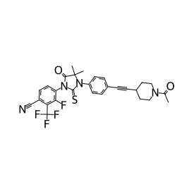 CC(=O)N1CCC(C#Cc2ccc(N3C(=S)N(c4ccc(C#N)c(C(F)(F)F)c4F)C(=O)C3(C)C)cc2)CC1